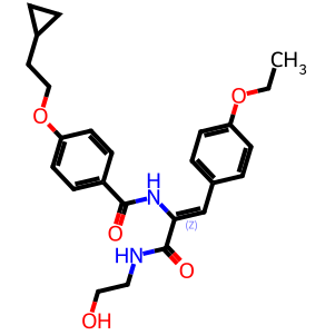 CCOc1ccc(/C=C(\NC(=O)c2ccc(OCCC3CC3)cc2)C(=O)NCCO)cc1